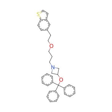 c1ccc(C(OC2CN(CCCOCCc3ccc4sccc4c3)C2)(c2ccccc2)c2ccccc2)cc1